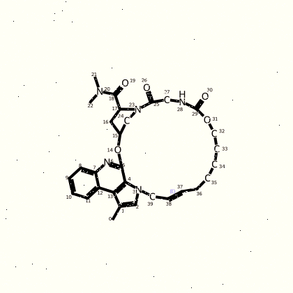 Cc1cn2c3c(nc4ccccc4c13)OC1CC(C(=O)N(C)C)N(C1)C(=O)CNC(=O)OCCCCC/C=C/C2